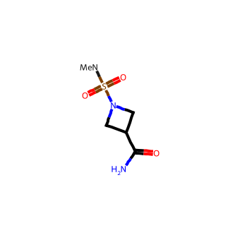 CNS(=O)(=O)N1CC(C(N)=O)C1